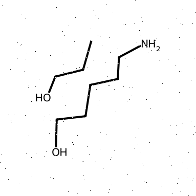 CCCO.NCCCCCO